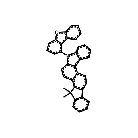 CC1(C)c2ccccc2-c2ccc3c(ccc4c3c3ccccc3n4-c3cccc4oc5ccccc5c34)c21